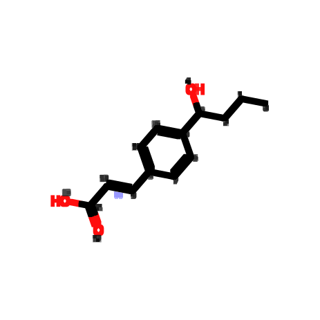 CCCC(O)c1ccc(/C=C/C(=O)O)cc1